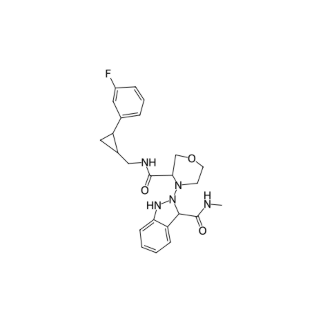 CNC(=O)C1c2ccccc2NN1N1CCOCC1C(=O)NCC1CC1c1cccc(F)c1